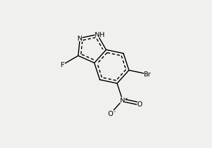 O=[N+]([O-])c1cc2c(F)n[nH]c2cc1Br